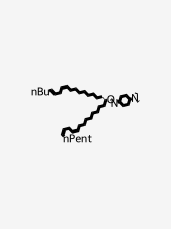 CCCC/C=C/C/C=C\CCCCCCCC[C@@H](CCCCCCCC/C=C\C/C=C\CCCCC)ON=C1CCC(N(C)C)CC1